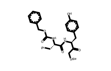 CSCC(=O)[C@H](Cc1ccc(O)cc1)NC(=O)[C@H](CC(C)C)NC(=O)OCc1ccccc1